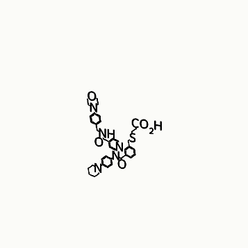 O=C(O)CCSCc1cccc(C(=O)N(c2ccc(N3CCCCC3)cc2)c2cc(C(=O)NCc3ccc(N4CCOCC4)cc3)ccn2)c1